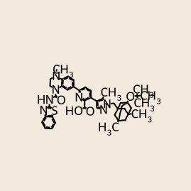 Cc1c(-c2ccc(-c3ccc4c(c3)N(C(=O)Nc3nc5ccccc5s3)CCN4C)nc2C(=O)O)cnn1CC12CC3(C)CC(C)(C1)CC(OC(C)(C)C)(C3)C2